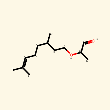 CC(C)=CCCC(C)CCOC(C)C=O